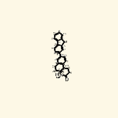 CN1C(=O)CC[C@]2(C)c3ccc(-c4ccc5c(c4)Cc4ccccc4-5)cc3CC[C@@H]12